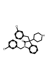 O=C1N(Cc2cccc(Cl)c2)c2ccccc2C1(Cc1cccc(Cl)c1)C1CCNCC1